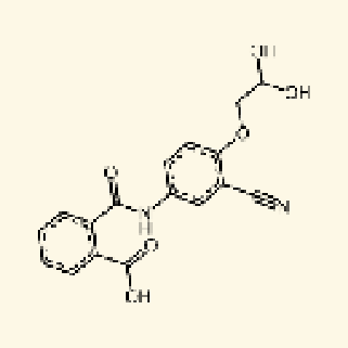 N#Cc1cc(NC(=O)c2ccccc2C(=O)O)ccc1OCC(O)O